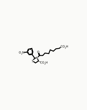 O=C(O)CCCCCCCC(=O)N1C(c2cccc([N+](=O)[O-])c2)SC[C@H]1C(=O)O